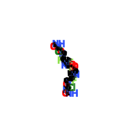 CNC(=O)c1cc(Cl)c(COc2cccc(-c3ccc(Cc4nc5ccc(C(=O)OC(=O)c6ccc7nc(Cc8ccc(-c9cccc(OCc%10cnc(C(=O)NC)cc%10Cl)n9)cc8F)n(CC8(CF)CC8)c7c6)cc5n4CC4(CF)CC4)c(F)c3)n2)cn1